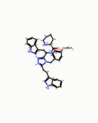 COc1ccc(Cn2c(CCc3c[nH]c4ccccc34)nnc2C(Cc2c[nH]c3ccccc23)NC(=O)[C@@H]2CCCCN2)cc1